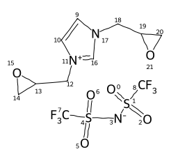 O=S(=O)([N-]S(=O)(=O)C(F)(F)F)C(F)(F)F.c1c[n+](CC2CO2)cn1CC1CO1